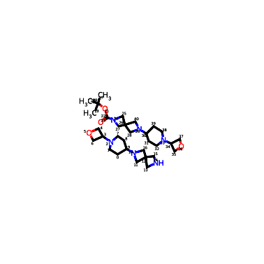 C1CN(C2COC2)CCC1N1CC2(CNC2)C1.CC(C)(C)OC(=O)N1CC2(C1)CN(C1CCN(C3COC3)CC1)C2